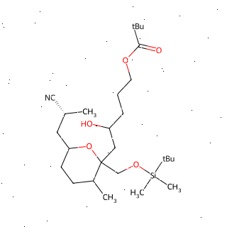 CC1CCC(C[C@@H](C)C#N)OC1(CO[Si](C)(C)C(C)(C)C)CC(O)CCCOC(=O)C(C)(C)C